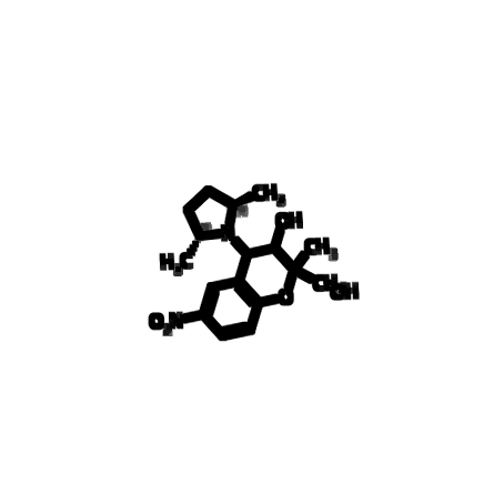 C[C@@H]1CC[C@@H](C)N1C1c2cc([N+](=O)[O-])ccc2OC(C)(C)C1O.Cl